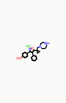 Cl.Oc1ccc(-c2noc(C3(CN4CCCNCC4)CC3)c2-c2ccccc2)cc1